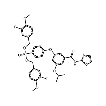 COc1ccc(COP(=O)(OCc2ccc(OC)c(F)c2)c2ccc(Oc3cc(OC(C)C)cc(C(=O)Nc4nccs4)c3)cc2)cc1F